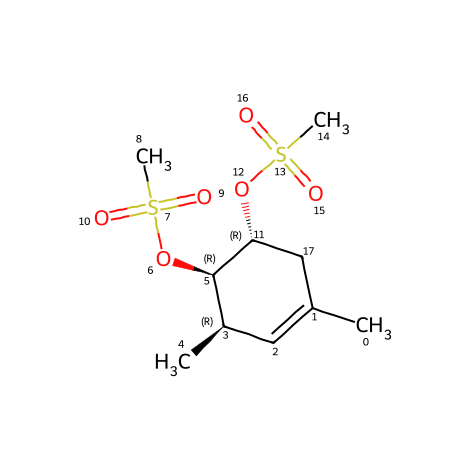 CC1=C[C@@H](C)[C@@H](OS(C)(=O)=O)[C@H](OS(C)(=O)=O)C1